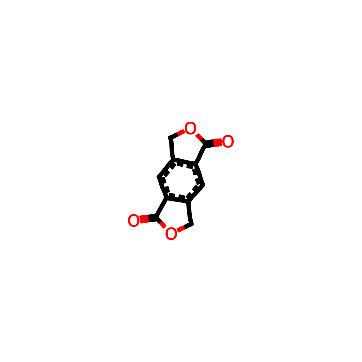 O=C1OCc2cc3c(cc21)COC3=O